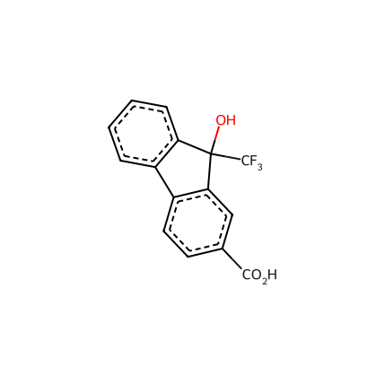 O=C(O)c1ccc2c(c1)C(O)(C(F)(F)F)c1ccccc1-2